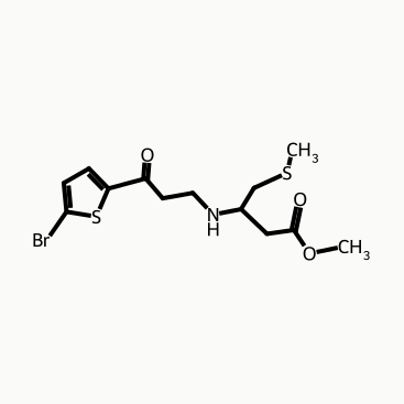 COC(=O)CC(CSC)NCCC(=O)c1ccc(Br)s1